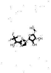 OC[C@H]1O[C@@H](n2cnc(C(O)C(F)(F)F)n2)C(O)[C@H]1O